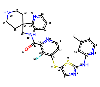 Cc1ccnc(Nc2ncc(Sc3ccnc(C(=O)NCC4(c5ccccn5)CCNCC4)c3F)s2)c1